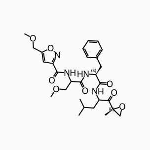 COCc1cc(C(=O)NC(COC)C(=O)N[C@@H](Cc2ccccc2)C(=O)NC(CC(C)C)C(=O)[C@@]2(C)CO2)no1